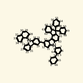 c1ccc(-c2cccc(-n3c4ccc(-c5ccc6c(c5)c5ccccc5n6-c5cccc6ccccc56)cc4c4c5c(ccc43)C(c3ccccc3)(c3ccccc3)c3ccccc3-5)c2)cc1